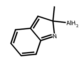 C[C]1([AlH2])C=c2ccccc2=N1